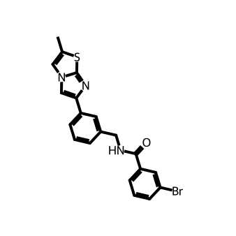 Cc1cn2cc(-c3cccc(CNC(=O)c4cccc(Br)c4)c3)nc2s1